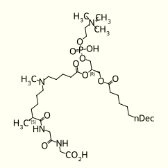 CCCCCCCCCCCCCCCC(=O)OC[C@H](COP(=O)(O)OCC[N+](C)(C)C)OC(=O)CCCCN(C)CCCC[C@H](C)C(=O)NCC(=O)NCC(=O)O